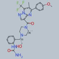 COc1ccc(-c2nc3c(C(=O)N4CCN([C@H](CO)c5ccccc5NC(N)=O)C[C@H]4C)cnn3c(C(F)(F)F)c2C)cc1